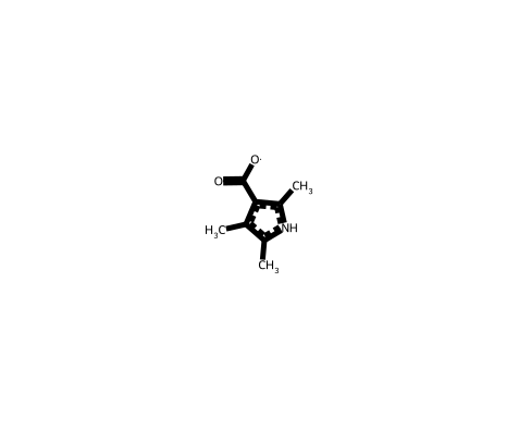 Cc1[nH]c(C)c(C([O])=O)c1C